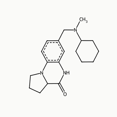 CN(Cc1ccc2c(c1)NC(=O)C1CCCN21)C1CCCCC1